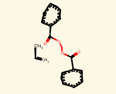 C=CC.O=C(OOC(=O)c1ccccc1)c1ccccc1